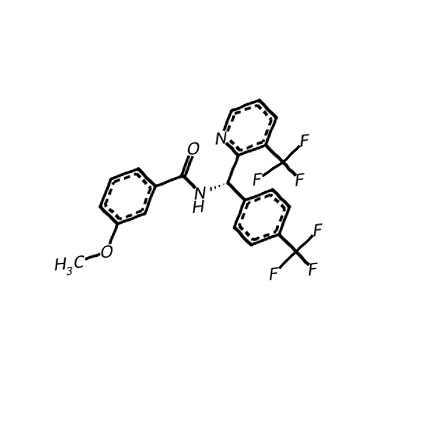 COc1cccc(C(=O)N[C@@H](c2ccc(C(F)(F)F)cc2)c2ncccc2C(F)(F)F)c1